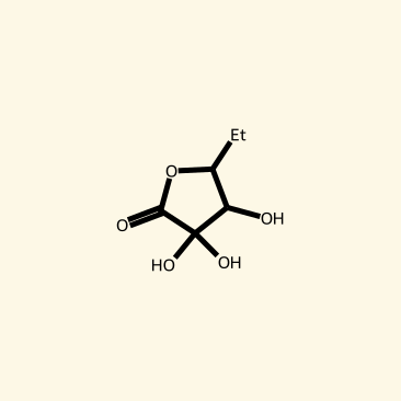 CCC1OC(=O)C(O)(O)C1O